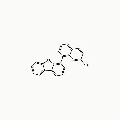 CC(C)c1ccc2cccc(-c3cccc4c3oc3ccccc34)c2c1